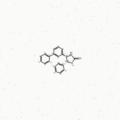 O=C1N[C@H](c2cccc(-c3ccccc3)c2)[C@@H](c2ccccc2)O1